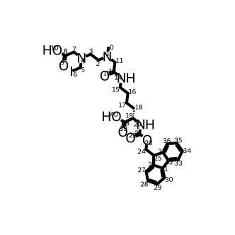 CN(CCN(CI)CC(=O)O)CC(=O)NCCCC[C@H](NC(=O)OCC1c2ccccc2-c2ccccc21)C(=O)O